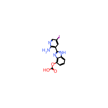 Nc1ncc(I)cc1-c1nc2c(OC(=O)O)cccc2[nH]1